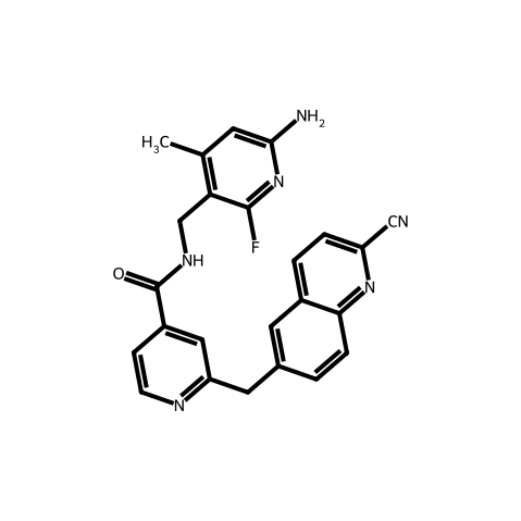 Cc1cc(N)nc(F)c1CNC(=O)c1ccnc(Cc2ccc3nc(C#N)ccc3c2)c1